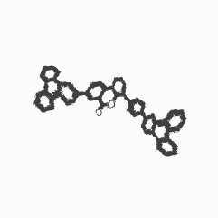 O=C1OC2C(c3ccc(-c4ccc5c6ccccc6c6ccccc6c5c4)cc3)=CC=CC2C2C=CC(c3ccc4c5ccccc5c5ccccc5c4c3)=CC12